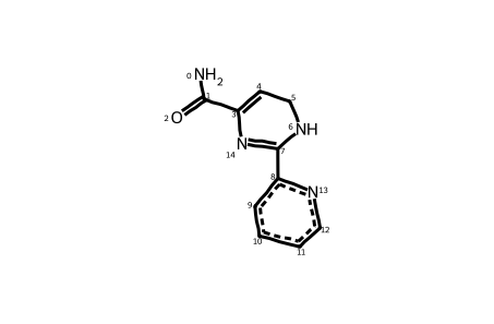 NC(=O)C1=CCNC(c2ccccn2)=N1